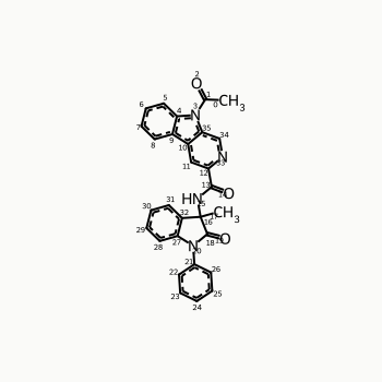 CC(=O)n1c2ccccc2c2cc(C(=O)NC3(C)C(=O)N(c4ccccc4)c4ccccc43)ncc21